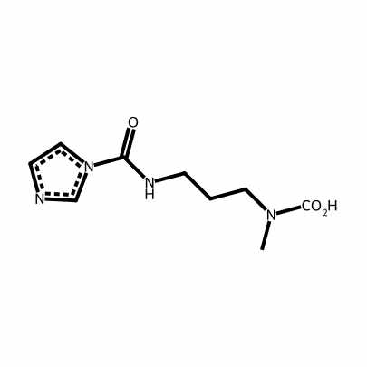 CN(CCCNC(=O)n1ccnc1)C(=O)O